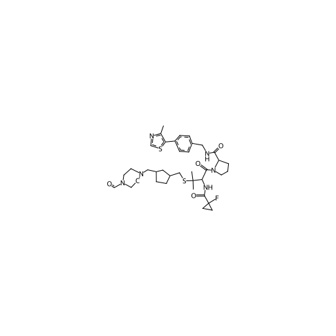 Cc1ncsc1-c1ccc(CNC(=O)C2CCCN2C(=O)C(NC(=O)C2(F)CC2)C(C)(C)SCC2CCC(CN3CCN(C=O)CC3)C2)cc1